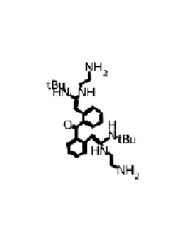 CC(C)(C)N/C(=C/c1ccccc1C(=O)c1ccccc1/C=C(\NCCN)NC(C)(C)C)NCCN